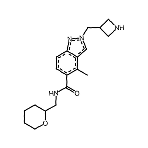 Cc1c(C(=O)NCC2CCCCO2)ccc2nn(CC3CNC3)cc12